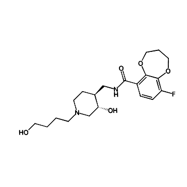 O=C(NC[C@@H]1CCN(CCCCO)C[C@H]1O)c1ccc(F)c2c1OCCCO2